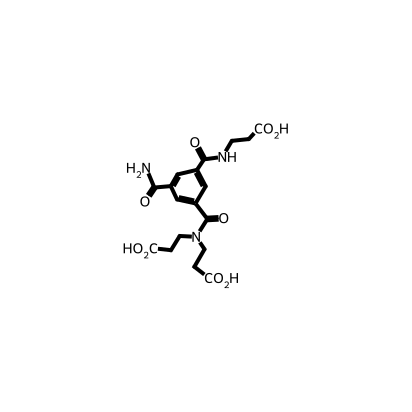 NC(=O)c1cc(C(=O)NCCC(=O)O)cc(C(=O)N(CCC(=O)O)CCC(=O)O)c1